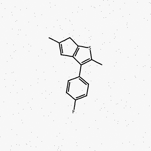 CC1=Cc2c(sc(C)c2-c2ccc(F)cc2)C1